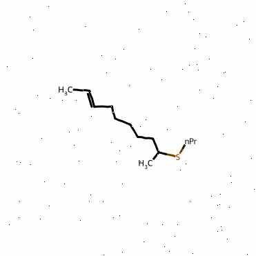 CC=CCCCCCC(C)SCCC